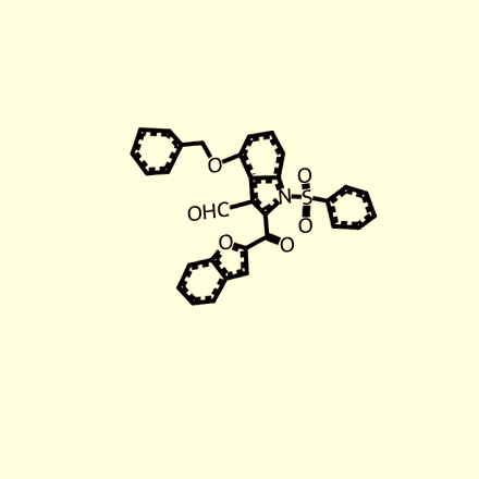 O=Cc1c(C(=O)c2cc3ccccc3o2)n(S(=O)(=O)c2ccccc2)c2cccc(OCc3ccccc3)c12